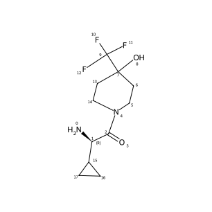 N[C@@H](C(=O)N1CCC(O)(C(F)(F)F)CC1)C1CC1